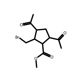 COC(=O)C1C(C(C)=O)CC(C(C)=O)C1CBr